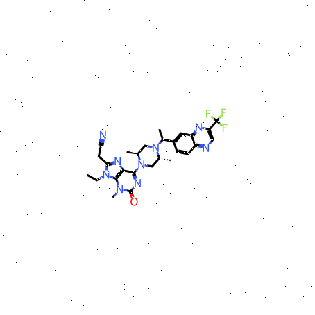 CCn1c(CC#N)nc2c(N3C[C@@H](C)N(C(C)c4ccc5ncc(C(F)(F)F)nc5c4)C[C@@H]3C)nc(=O)n(C)c21